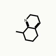 CC1CCCC2=CCCN=C21